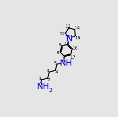 NCCCCCNc1ccc(N2CCCC2)cc1